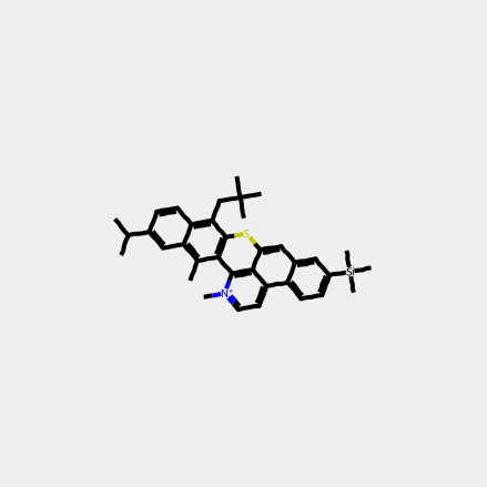 Cc1c2c(c(CC(C)(C)C)c3ccc(C(C)C)cc13)Sc1cc3cc([Si](C)(C)C)ccc3c3cc[n+](C)c-2c13